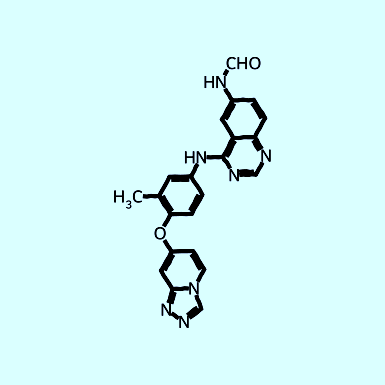 Cc1cc(Nc2ncnc3ccc(NC=O)cc23)ccc1Oc1ccn2cnnc2c1